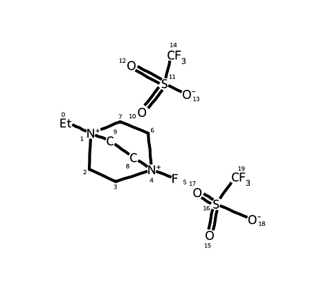 CC[N+]12CC[N+](F)(CC1)CC2.O=S(=O)([O-])C(F)(F)F.O=S(=O)([O-])C(F)(F)F